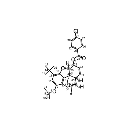 CN1CC[C@]23c4c5c(O[SiH](C)C)cc(C(C)(C)C)c4O[C@H]2[C@@H](OC(=O)c2ccc(Cl)cc2)C=C[C@H]3[C@H]1C5